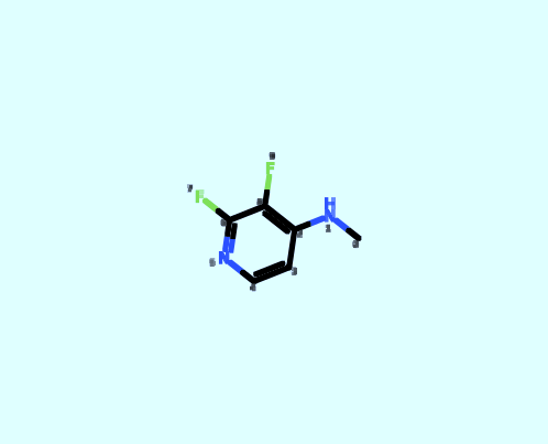 CNc1ccnc(F)c1F